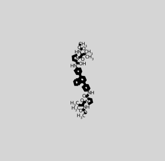 COC(=O)N[C@H](C(=O)N1CCC[C@H]1C(=O)Nc1ccc(-c2ccc(-c3ccc(NC(O)[C@@H]4CCCN4C(=O)[C@@H](NC(=O)OC)C(C)C)cc3)c3c2C2CCC3C2)cc1)C(C)C